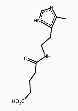 Cc1nc[nH]c1CCNC(=O)CCCC(=O)O